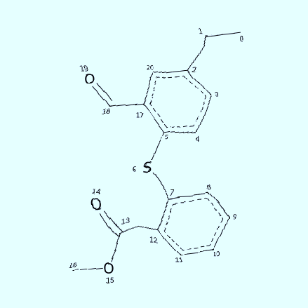 CCc1ccc(Sc2ccccc2C(=O)OC)c(C=O)c1